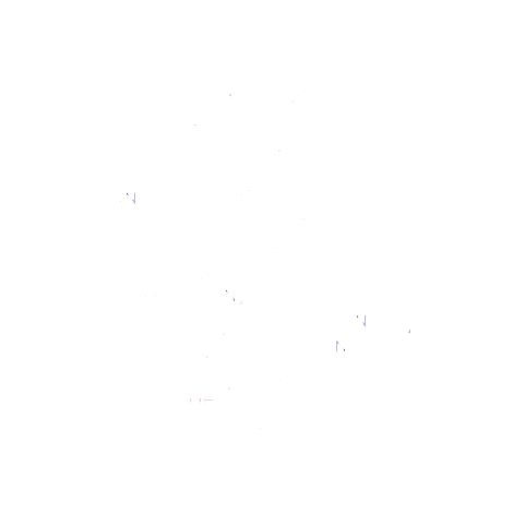 COc1cn(C(C(=O)O)C(c2ccn(C)n2)C(C)(C)C)c(=O)cc1-c1cc(Cl)ccc1C#N